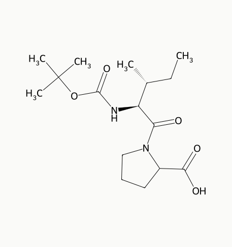 CC[C@@H](C)[C@H](NC(=O)OC(C)(C)C)C(=O)N1CCCC1C(=O)O